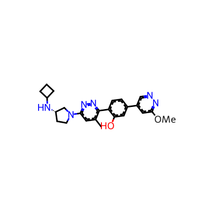 COc1cc(-c2ccc(-c3nnc(N4CC[C@H](NC5CCC5)C4)cc3C)c(O)c2)cnn1